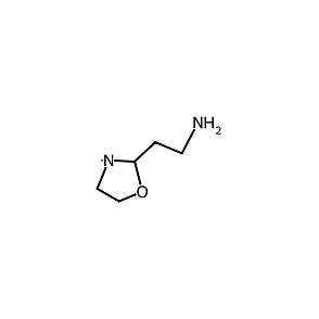 NCCC1[N]CCO1